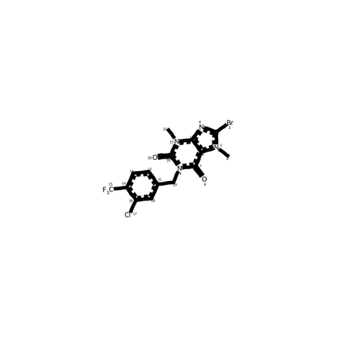 Cn1c(Br)nc2c1c(=O)n(Cc1ccc(C(F)(F)F)c(Cl)c1)c(=O)n2C